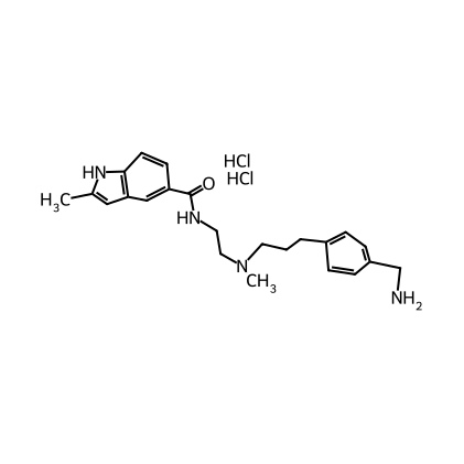 Cc1cc2cc(C(=O)NCCN(C)CCCc3ccc(CN)cc3)ccc2[nH]1.Cl.Cl